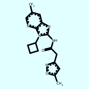 Cc1cc(CC(=O)Nc2nc3cc(C(F)(F)F)cnc3n2C2CCC2)no1